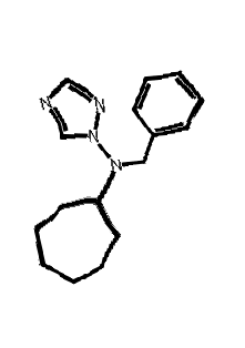 c1ccc(CN(C2CCCCCC2)n2cncn2)cc1